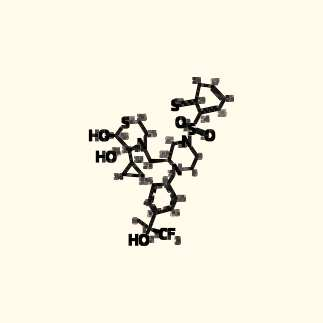 C[C@@](O)(c1ccc(N2CCN(S(=O)(=O)C3=CC=CCC3=S)C[C@@H]2CN2CCSC(O)[C@]2(O)C2CC2)cc1)C(F)(F)F